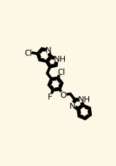 Fc1cc(Cc2c[nH]c3ncc(Cl)cc23)c(Cl)cc1OCc1nc2ccccc2[nH]1